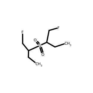 CCC(CF)S(=O)(=O)C(CC)CF